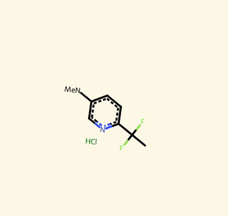 CNc1ccc(C(C)(F)F)nc1.Cl